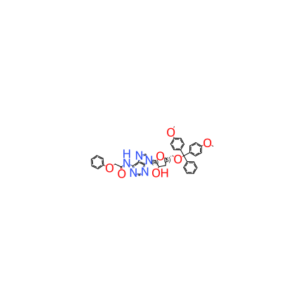 COc1ccc(C(OC[C@@H]2CC(O)[C@H](n3cnc4c(NC(=O)COc5ccccc5)ncnc43)O2)(c2ccccc2)c2ccc(OC)cc2)cc1